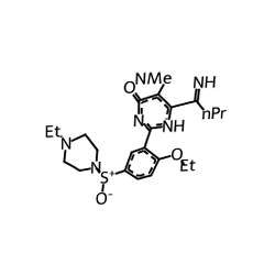 CCCC(=N)c1[nH]c(-c2cc([S+]([O-])N3CCN(CC)CC3)ccc2OCC)nc(=O)c1NC